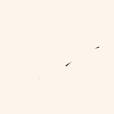 C[C@H]1OC2(CCCCC2)[C@@H](c2ccc(N3CCC(C=O)CC3)cc2)c2ccc(O)cc21